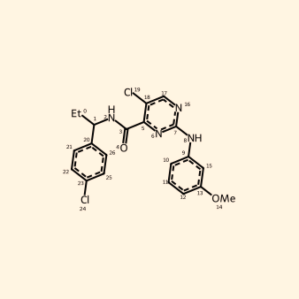 CCC(NC(=O)c1nc(Nc2cccc(OC)c2)ncc1Cl)c1ccc(Cl)cc1